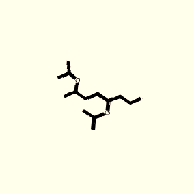 [CH2]CCC(CCC(C)OC(C)C)OC(C)C